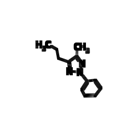 CCCc1nn(-c2ccccc2)nc1C